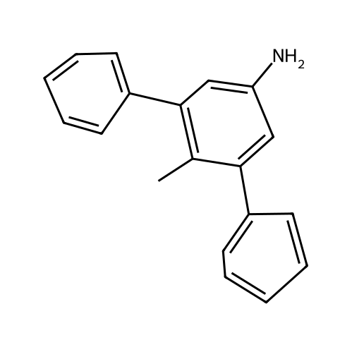 Cc1c(-c2ccccc2)cc(N)cc1-c1ccccc1